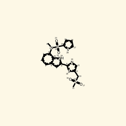 CN(c1cccc2cc(-c3ncc(CS(C)(=O)=O)s3)[nH]c12)S(=O)(=O)c1cccs1